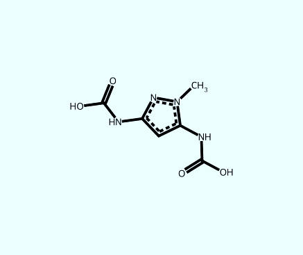 Cn1nc(NC(=O)O)cc1NC(=O)O